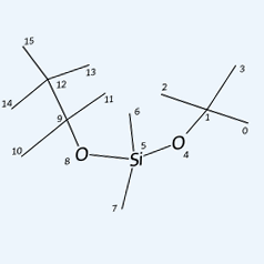 CC(C)(C)O[Si](C)(C)OC(C)(C)C(C)(C)C